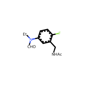 CCN(C=O)c1ccc(F)c(CNC(C)=O)c1